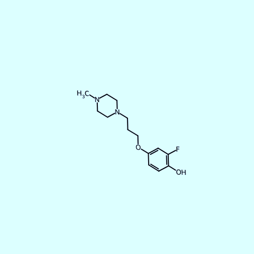 CN1CCN(CCCOc2ccc(O)c(F)c2)CC1